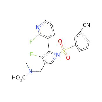 CN(Cc1cn(S(=O)(=O)c2cccc(C#N)c2)c(-c2cccnc2F)c1F)C(=O)O